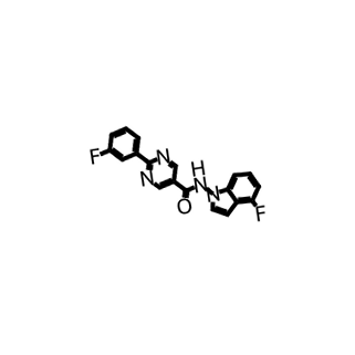 O=C(Nn1ccc2c(F)cccc21)c1cnc(-c2cccc(F)c2)nc1